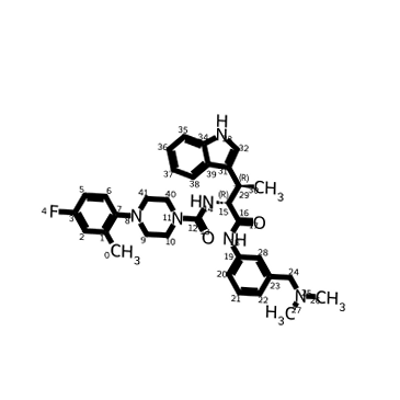 Cc1cc(F)ccc1N1CCN(C(=O)N[C@@H](C(=O)Nc2cccc(CN(C)C)c2)[C@H](C)c2c[nH]c3ccccc23)CC1